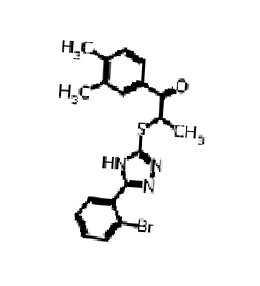 Cc1ccc(C(=O)C(C)Sc2nnc(-c3ccccc3Br)[nH]2)cc1C